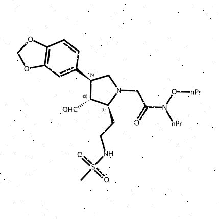 CCCON(CCC)C(=O)CN1C[C@H](c2ccc3c(c2)OCO3)[C@@H](C=O)[C@@H]1CCNS(C)(=O)=O